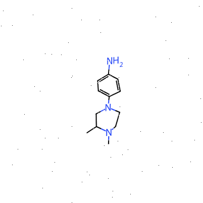 CC1CN(c2ccc(N)cc2)CCN1C